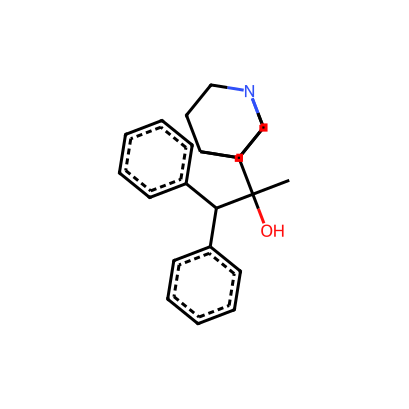 CC(O)(C(c1ccccc1)c1ccccc1)C1CN2CCC1CC2